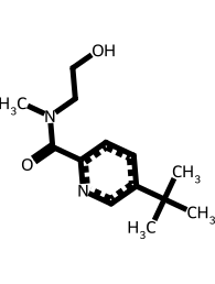 CN(CCO)C(=O)c1ccc(C(C)(C)C)cn1